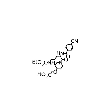 CCOC(=O)NCCC[C@H](NC(=O)c1ccc(C#N)cc1)C(=O)N1CCC(OCC(=O)O)CC1